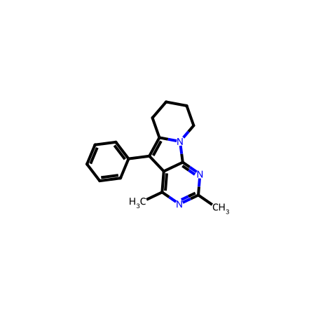 Cc1nc(C)c2c(-c3ccccc3)c3n(c2n1)CCCC3